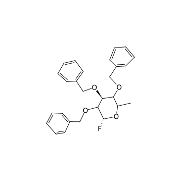 CC1O[C@H](F)C(OCc2ccccc2)[C@@H](OCc2ccccc2)C1OCc1ccccc1